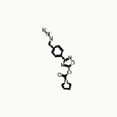 [N-]=[N+]=NCc1ccc(-c2noc(OC(=O)N3CCCC3)n2)cc1